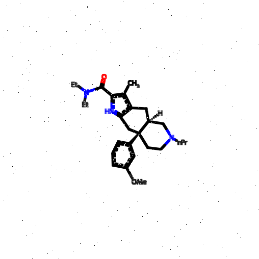 CCCN1CC[C@]2(c3cccc(OC)c3)Cc3[nH]c(C(=O)N(CC)CC)c(C)c3C[C@H]2C1